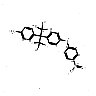 Cc1ccc(C(c2ccc(Oc3ccc([N+](=O)[O-])cc3)cc2)(C(F)(F)F)C(F)(F)F)cc1